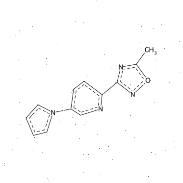 Cc1nc(-c2ccc(-n3cccc3)cn2)no1